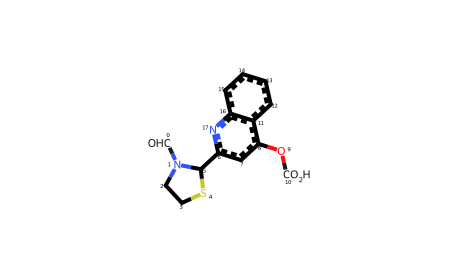 O=CN1CCSC1c1cc(OC(=O)O)c2ccccc2n1